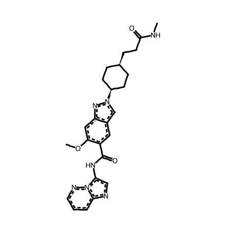 CNC(=O)CC[C@H]1CC[C@@H](n2cc3cc(C(=O)Nc4cnc5cccnn45)c(OC)cc3n2)CC1